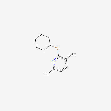 CC(C)c1ccc(C(F)(F)F)nc1SC1CCCCC1